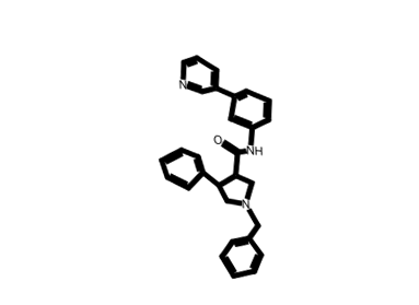 O=C(Nc1cccc(-c2cccnc2)c1)C1CN(Cc2ccccc2)CC1c1ccccc1